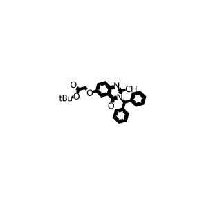 Cc1nc2ccc(OCC(=O)OC(C)(C)C)cc2c(=O)n1C(c1ccccc1)c1ccccc1